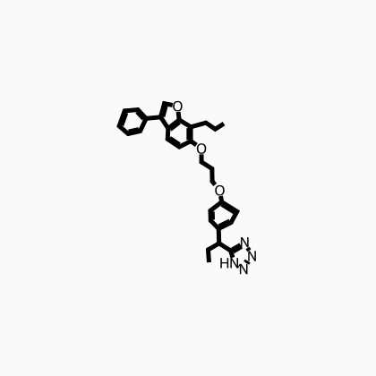 CCCc1c(OCCCOc2ccc(C(CC)c3nnn[nH]3)cc2)ccc2c(-c3ccccc3)coc12